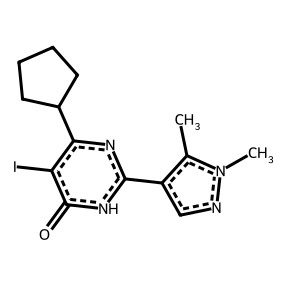 Cc1c(-c2nc(C3CCCC3)c(I)c(=O)[nH]2)cnn1C